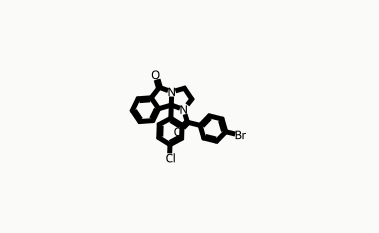 O=C(c1ccc(Br)cc1)N1CCN2C(=O)c3ccccc3C12c1ccc(Cl)cc1